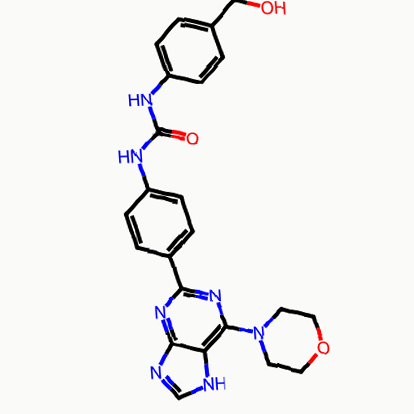 O=C(Nc1ccc(CO)cc1)Nc1ccc(-c2nc(N3CCOCC3)c3[nH]cnc3n2)cc1